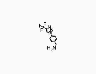 NCc1ccc(-n2cc(C(F)(F)F)nn2)cc1